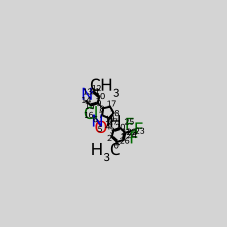 Cc1cc([C@@H]2ON=C3[C@@H](c4cc(C)ncc4Cl)CC[C@@H]32)cc(C(F)(F)F)c1